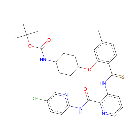 Cc1ccc(C(=S)Nc2cccnc2C(=O)Nc2ccc(Cl)cn2)c(OC2CCC(NC(=O)OC(C)(C)C)CC2)c1